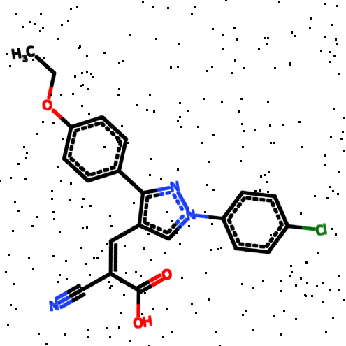 CCOc1ccc(-c2nn(-c3ccc(Cl)cc3)cc2/C=C(/C#N)C(=O)O)cc1